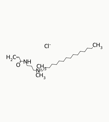 C=CC(=O)NCCC[N+](C)(C)CCCCCCCCCCCCCCCC.[Cl-]